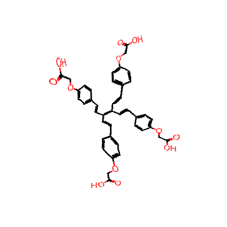 O=C(O)COc1ccc(C=CC(C=Cc2ccc(OCC(=O)O)cc2)=C(C=Cc2ccc(OCC(=O)O)cc2)C=Cc2ccc(OCC(=O)O)cc2)cc1